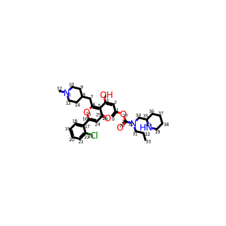 C=C(/C=C(/O)c1c(CC2CCN(C)CC2)oc(-c2ccccc2Cl)cc1=O)OC(=O)N(CCC)CC1CCCCN1